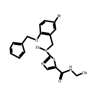 CCN(Cc1cc(Br)ccc1OCc1ccccc1)c1ncc(C(=O)NCC#N)s1